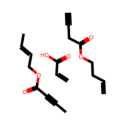 C#CCC(=O)OCCC=C.C=CC(=O)O.CC#CC(=O)OCC=CC